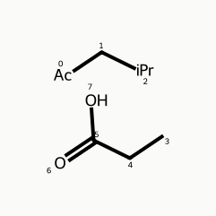 CC(=O)CC(C)C.CCC(=O)O